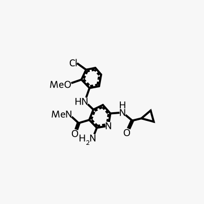 CNC(=O)c1c(Nc2cccc(Cl)c2OC)cc(NC(=O)C2CC2)nc1N